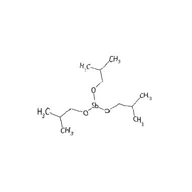 CC(C)C[O][Sb]([O]CC(C)C)[O]CC(C)C